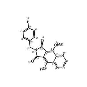 COc1c2c(c(O)c3nccnc13)C(=O)N(Cc1ccc(F)cc1)C2=O